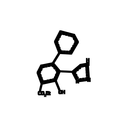 CCOC(=O)c1ccc(-c2ccccc2)c(-c2c[nH]nn2)c1O